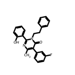 Cc1nc(-c2ccccc2O)n(CCc2ccccc2)c(=O)c1-c1cccc(F)c1